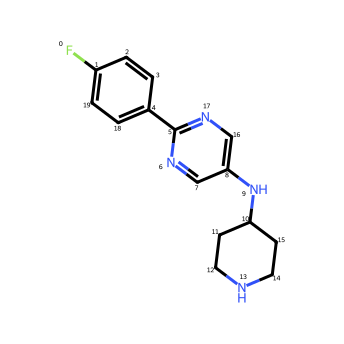 Fc1ccc(-c2ncc(NC3CCNCC3)cn2)cc1